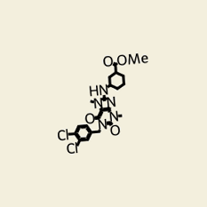 COC(=O)C1CCCC(Nc2nc3c(c(=O)n(Cc4ccc(Cl)c(Cl)c4)c(=O)n3C)n2C)C1